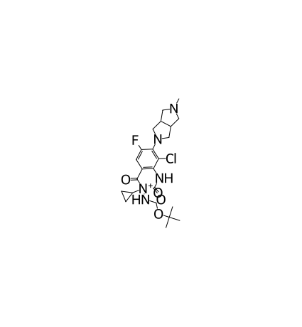 CN1CC2CN(c3c(F)cc4c(c3Cl)NC(=O)[N+](NC(=O)OC(C)(C)C)(C3CC3)C4=O)CC2C1